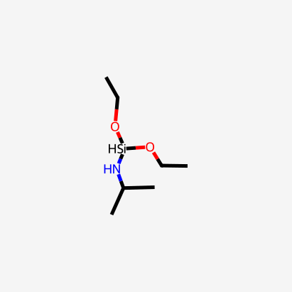 CCO[SiH](NC(C)C)OCC